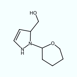 OCC1C=CNN1C1CCCCO1